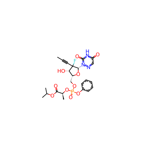 CC#CC1(F)[C@@H](O)[C@@H](COP(=O)(Oc2ccccc2)O[C@@H](C)C(=O)OC(C)C)O[C@H]1n1ncc(=O)[nH]c1=O